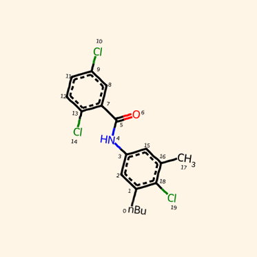 CCCCc1cc(NC(=O)c2cc(Cl)ccc2Cl)cc(C)c1Cl